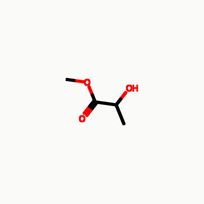 COC(=O)[C](C)O